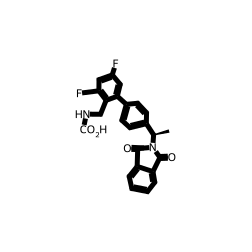 C[C@H](c1ccc(-c2cc(F)cc(F)c2CNC(=O)O)cc1)N1C(=O)c2ccccc2C1=O